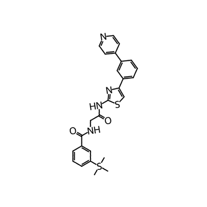 CS(C)(C)c1cccc(C(=O)NCC(=O)Nc2nc(-c3cccc(-c4ccncc4)c3)cs2)c1